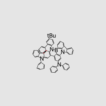 CC(C)(C)c1ccc(N2B3c4c(cc(N(c5ccccc5)c5ccccc5)cc4-n4c5ccccc5c5cccc3c54)-c3cc4c(cc32)c2ccccc2n4-c2ccccc2)c(-c2ccccc2)c1